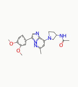 COc1ccc(-c2cnc3c(N4CCC(NC(C)=O)C4)cc(C)nn23)cc1OC